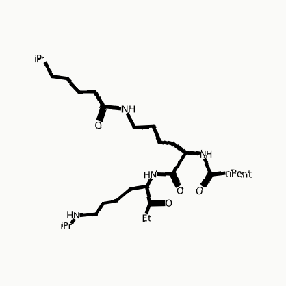 CCCCCC(=O)NC(CCCCNC(=O)CCCCC(C)C)C(=O)NC(CCCCNC(C)C)C(=O)CC